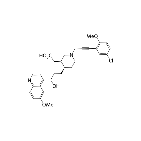 COc1ccc2nccc(C(O)CC[C@@H]3CCN(CC#Cc4cc(Cl)ccc4OC)C[C@@H]3CC(=O)O)c2c1